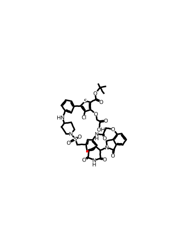 CC(C)(C)OC(=O)c1sc(-c2cccc(NC3CCN(S(=O)(=O)Cc4cccc(NC(=O)COc5cccc6c5CN(C5CCC(=O)NC5=O)C6=O)c4)CC3)c2)c(Cl)c1OCC(=O)O